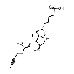 CC#CCC[C@H](O)/C=C/[C@@H]1[C@H]2C[C@H](CCCCC(=O)O)O[C@H]2C[C@H]1O